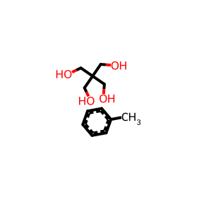 Cc1ccccc1.OCC(CO)(CO)CO